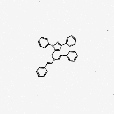 C(=C\c1ccccc1)/B(/C=C/c1ccccc1)Oc1cc(-c2ccccc2)nn1-c1ccccn1